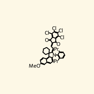 COc1ccc2c3c(ccc2c1)N(c1c(C(C)C)cccc1C(C)C)/C(=C/C=C1C(=O)c2c(Cl)c(Cl)c(Cl)c(Cl)c2C1=O)C31CCCCC1